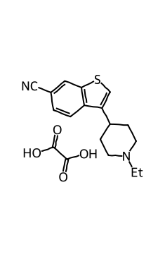 CCN1CCC(c2csc3cc(C#N)ccc23)CC1.O=C(O)C(=O)O